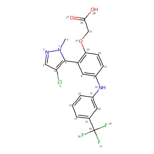 Cn1ncc(Cl)c1-c1cc(Nc2cccc(C(F)(F)F)c2)ccc1OCC(=O)O